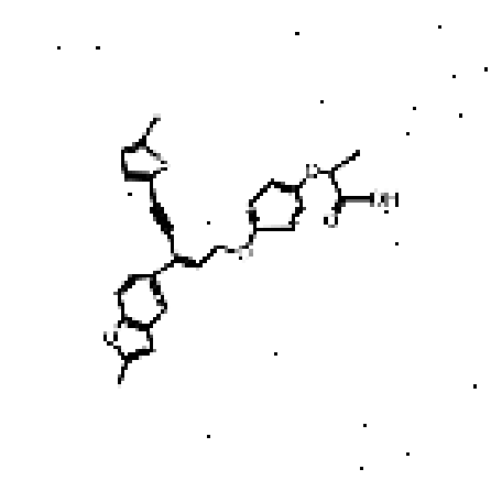 Cc1cc2cc(C(C#Cc3ccc(C)s3)=CCOc3ccc(OC(C)C(=O)O)cc3)ccc2o1